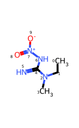 CCN(C)C(=N)N[N+](=O)[O-]